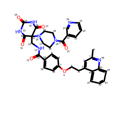 Cc1cc(CCOc2ccc(C(=O)NCC3(N4CCN(C(=O)c5cccnc5)CC4)C(=O)NC(=O)NC3=O)cc2)c2ccccc2n1